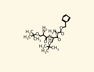 CC(C)(C)OCC(N)C(=O)NC(COC(C)(C)C)C(=O)N(N)C(=O)OCc1ccccc1